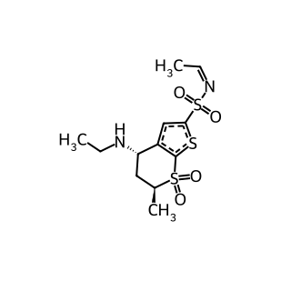 C/C=N\S(=O)(=O)c1cc2c(s1)S(=O)(=O)[C@@H](C)C[C@@H]2NCC